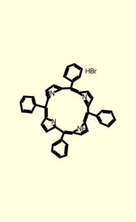 Br.C1=Cc2nc1c(-c1ccccc1)c1ccc([nH]1)c(-c1ccccc1)c1nc(c(-c3ccccc3)c3ccc([nH]3)c2-c2ccccc2)C=C1